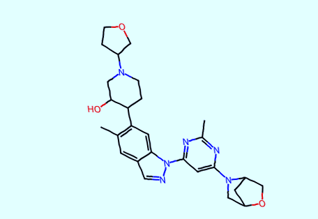 Cc1nc(N2CC3CC2CO3)cc(-n2ncc3cc(C)c(C4CCN(C5CCOC5)CC4O)cc32)n1